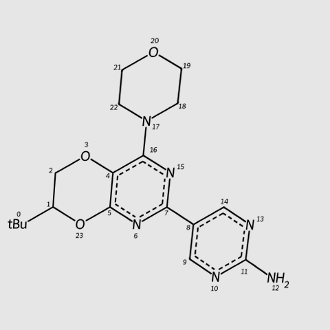 CC(C)(C)C1COc2c(nc(-c3cnc(N)nc3)nc2N2CCOCC2)O1